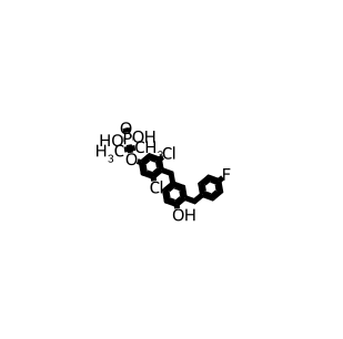 CC(C)(Oc1cc(Cl)c(Cc2ccc(O)c(Cc3ccc(F)cc3)c2)c(Cl)c1)P(=O)(O)O